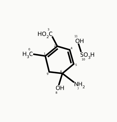 CC1=C(C(=O)O)C=CC(N)(O)C1.O=S(=O)(O)O